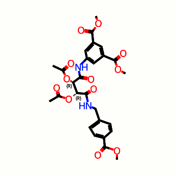 COC(=O)c1ccc(CNC(=O)[C@H](OC(C)=O)[C@@H](OC(C)=O)C(=O)Nc2cc(C(=O)OC)cc(C(=O)OC)c2)cc1